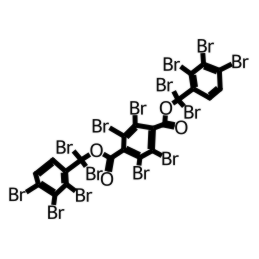 O=C(OC(Br)(Br)c1ccc(Br)c(Br)c1Br)c1c(Br)c(Br)c(C(=O)OC(Br)(Br)c2ccc(Br)c(Br)c2Br)c(Br)c1Br